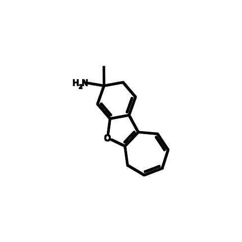 CC1(N)C=c2oc3c(c2=CC1)C=CC=CC3